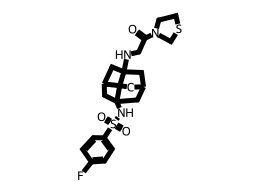 O=C(CNC12CC3CC4(NS(=O)(=O)c5ccc(F)cc5)CC(C1)C24C3)N1CCSC1